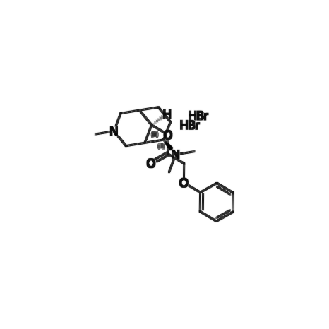 Br.Br.CN1CC2CC[C@@H](N(C)C)C(C1)[C@@H]2OC(=O)COc1ccccc1